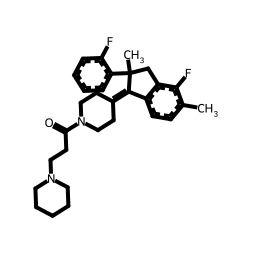 Cc1ccc2c(c1F)CC(C)(c1ccccc1F)C2=C1CCN(C(=O)CCN2CCCCC2)CC1